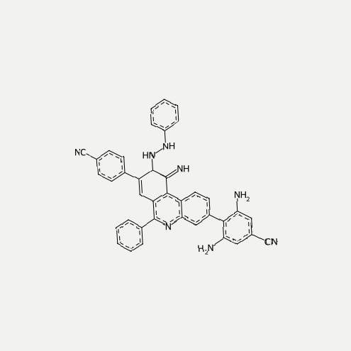 N#Cc1ccc(C2=Cc3c(-c4ccccc4)nc4cc(-c5c(N)cc(C#N)cc5N)ccc4c3C(=N)C2NNc2ccccc2)cc1